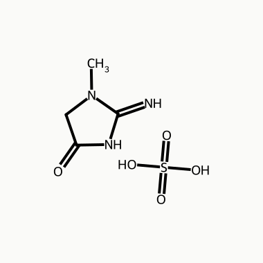 CN1CC(=O)NC1=N.O=S(=O)(O)O